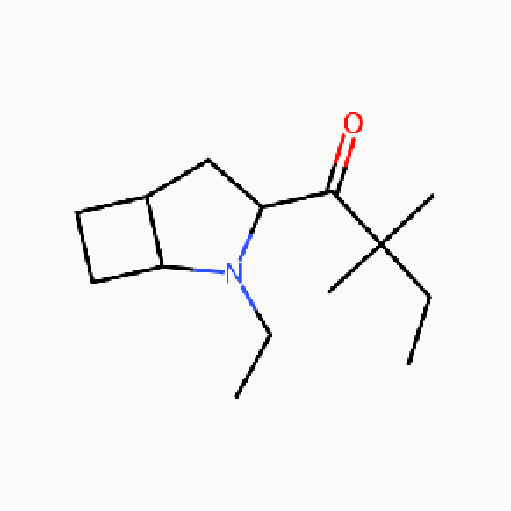 CCN1C(C(=O)C(C)(C)CC)CC2CCC21